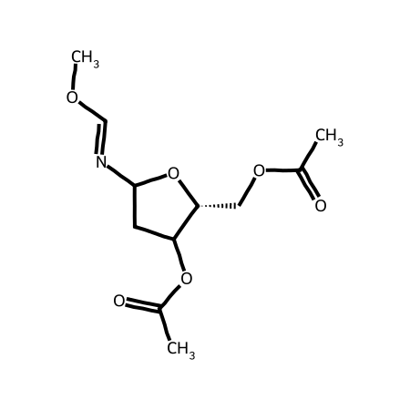 COC=NC1CC(OC(C)=O)[C@@H](COC(C)=O)O1